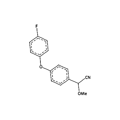 COC(C#N)c1ccc(Oc2ccc(F)cc2)cc1